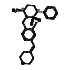 C[C@H]1CC[C@H](c2ccccc2)S(=O)(=O)N1Cc1ccc(C=C2CCOCC2)cc1F